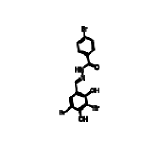 O=C(NN=Cc1cc(Br)c(O)c(Br)c1O)c1ccc(Br)cc1